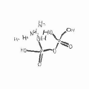 N.N.O=P(O)(O)OP(=O)(O)O.[H+].[H+]